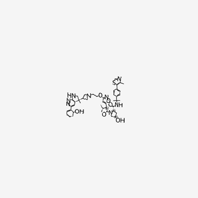 Cc1ncsc1-c1ccc(C(C)(C)NC(=O)[C@@H]2C[C@@H](O)CN2C(=O)[C@](C)(c2cc(OCCN3CC(C4(C)CNc5nnc(-c6ccccc6O)cc54)C3)no2)C(C)C)cc1